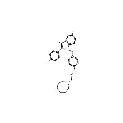 CC1=C(c2ccc(O)cc2)[N+]([O-])(Cc2ccc(OCCN3CCCCCC3)cc2)c2ccc(O)cc21